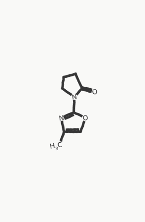 Cc1coc(N2CCCC2=O)n1